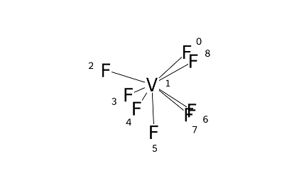 [F][V]([F])([F])([F])([F])([F])([F])[F]